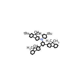 CC(C)(C)c1ccc(N(c2cc(-c3ccc4c(c3)C(C)(C)c3ccccc3-4)cc(-c3ccc4c(c3)C(C)(C)c3ccccc3-4)c2)c2ccc3c(c2)C(C)(C)c2cc(C(C)(C)C)ccc2-3)cc1